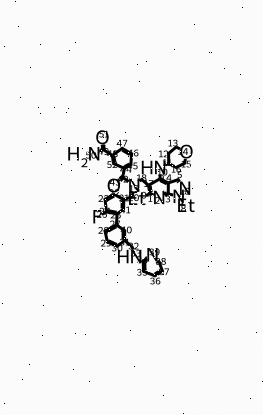 CCc1nc2c(cnn2CC)c(NC2CCOCC2)c1CN(Cc1ccc(F)c(-c2cccc(CNc3ccccn3)c2)c1)C(=O)c1cccc(C(N)=O)c1